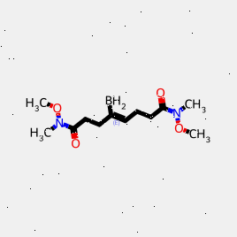 B/C(=C\CCC(=O)N(C)OC)CCC(=O)N(C)OC